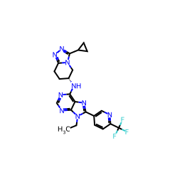 CCn1c(-c2ccc(C(F)(F)F)nc2)nc2c(N[C@@H]3CCc4nnc(C5CC5)n4C3)ncnc21